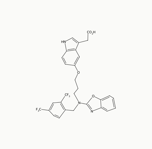 O=C(O)Cc1c[nH]c2ccc(OCCCN(Cc3ccc(C(F)(F)F)cc3C(F)(F)F)c3nc4ccccc4o3)cc12